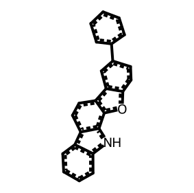 c1ccc(-c2ccc3oc4c(ccc5c6ccccc6[nH]c54)c3c2)cc1